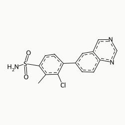 Cc1c(S(N)(=O)=O)ccc(-c2ccc3ncncc3c2)c1Cl